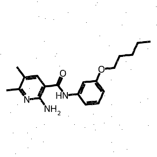 CCCCCOc1cccc(NC(=O)c2cc(C)c(C)nc2N)c1